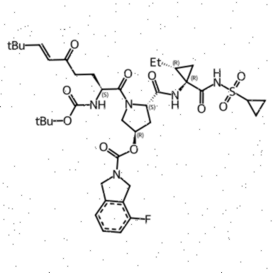 CC[C@@H]1C[C@]1(NC(=O)[C@@H]1C[C@@H](OC(=O)N2Cc3cccc(F)c3C2)CN1C(=O)[C@H](CCC(=O)C=CC(C)(C)C)NC(=O)OC(C)(C)C)C(=O)NS(=O)(=O)C1CC1